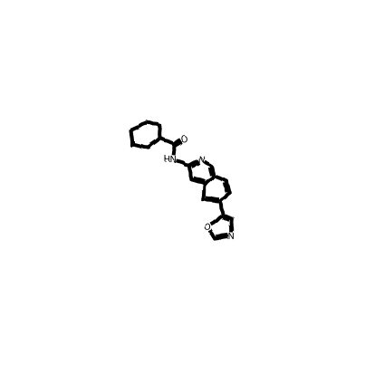 O=C(Nc1cc2cc(-c3cnco3)ccc2cn1)C1CCCCC1